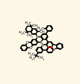 Cc1ccccc1-c1cc2c3c(c1)N(c1cc4c(cc1C)C(C)(C)CCC4(C)C)c1cc4c(cc1B3N(c1ccc(C(C)(C)C)cc1-c1ccccc1)c1cc3oc5ccccc5c3cc1-2)Oc1ccccc1O4